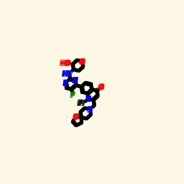 CC(C)n1c(CN2CCC3(CCCO3)CC2)cc(=O)c2ccc(-c3nc(N[C@@H]4CCOC[C@H]4O)ncc3F)cc21